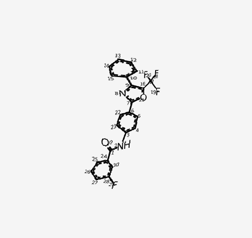 O=C(Nc1ccc(-c2nc(-c3ccccc3)c(C(F)(F)F)o2)cc1)c1cccc(F)c1